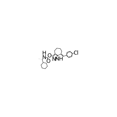 C[C@H](NC(=O)Oc1n[nH]c2c1CCCC/C2=C\c1ccc(Cl)cc1)C1CCCCC1